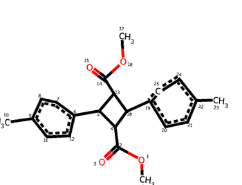 COC(=O)C1C(c2ccc(C)cc2)C(C(=O)OC)C1c1ccc(C)cc1